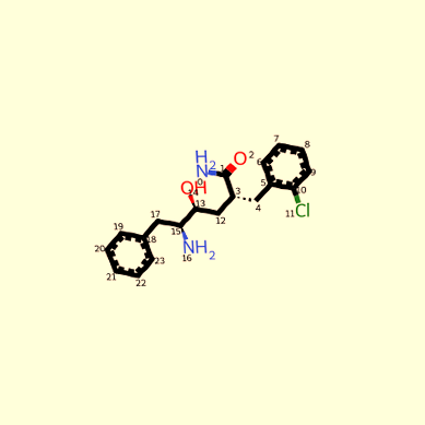 NC(=O)[C@H](Cc1ccccc1Cl)C[C@H](O)[C@@H](N)Cc1ccccc1